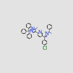 Cc1nn(C(c2ccccc2)(c2ccccc2)c2ccccc2)cc1-c1ccc(/C(=C\N(C)C(C)c2ccccc2)c2ccc(Cl)cc2)cn1